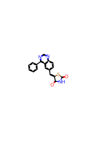 O=C1NC(=O)/C(=C/c2ccc3ncnc(-c4ccccc4)c3c2)S1